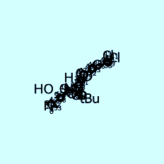 Cc1nccc(-c2ccc(C[C@H](NC(=O)[C@@H]3Cc4cc5c(cc4CN3C(=O)OC(C)(C)C)O[C@@H](c3ccc(OCc4ccc(Cl)c(Cl)c4)cc3)CO5)C(=O)O)cc2)c1C